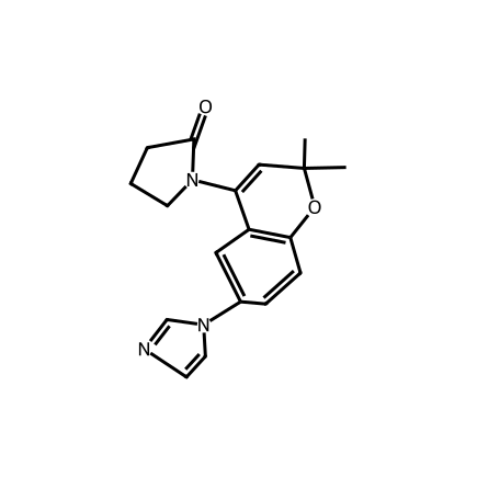 CC1(C)C=C(N2CCCC2=O)c2cc(-n3ccnc3)ccc2O1